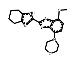 COc1ccc(N2CCOCC2)c2sc(-c3nc4c([nH]3)CCCC4)nc12